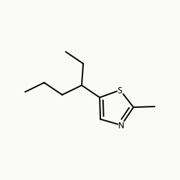 CCCC(CC)c1cnc(C)s1